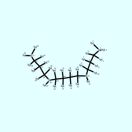 [2H]N([2H])C([2H])([2H])C([2H])([2H])C([2H])([2H])N([2H])C([2H])([2H])C([2H])([2H])C([2H])([2H])C([2H])([2H])N([2H])C([2H])([2H])C([2H])([2H])C([2H])([2H])N([2H])[2H]